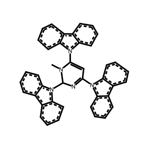 CN1C(n2c3ccccc3c3ccccc32)=CC(n2c3ccccc3c3ccccc32)=NC1n1c2ccccc2c2ccccc21